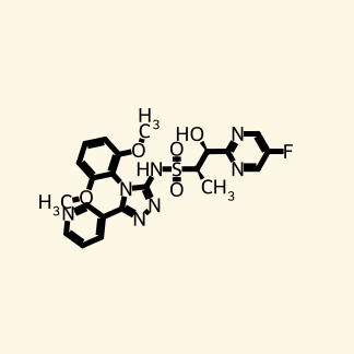 COc1cccc(OC)c1-n1c(NS(=O)(=O)[C@H](C)[C@@H](O)c2ncc(F)cn2)nnc1-c1cccnc1